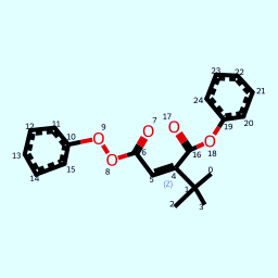 CC(C)(C)/C(=C/C(=O)OOc1ccccc1)C(=O)Oc1ccccc1